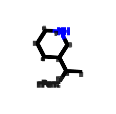 CCCCCC(C)C1CCCNC1